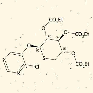 CCOC(=O)O[C@@H]1[C@@H](OC(=O)OCC)[C@H](OC(=O)OCC)CS[C@H]1Oc1cccnc1Cl